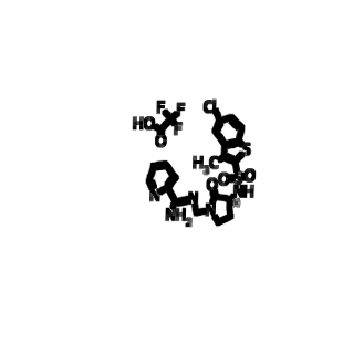 Cc1c(S(=O)(=O)N[C@H]2CCN(CN=C(N)c3ccccn3)C2=O)sc2ccc(Cl)cc12.O=C(O)C(F)(F)F